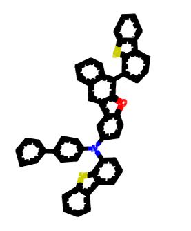 c1ccc(-c2ccc(N(c3ccc4oc5c(-c6cccc7c6sc6ccccc67)c6ccccc6cc5c4c3)c3cccc4c3sc3ccccc34)cc2)cc1